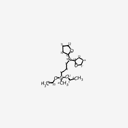 CCO[Si](C)(CCCN(C1CCCO1)C1CCCO1)OCC